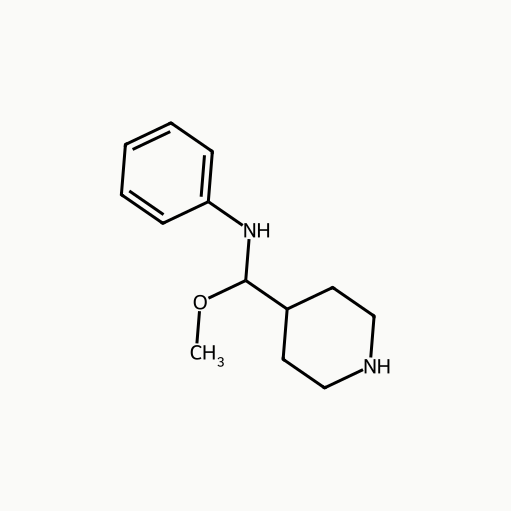 COC(Nc1ccccc1)C1CCNCC1